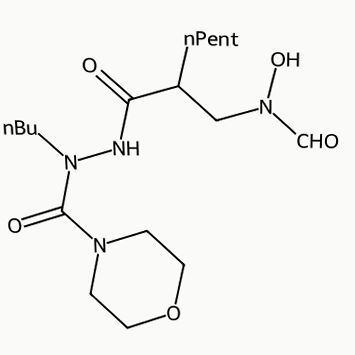 CCCCCC(CN(O)C=O)C(=O)NN(CCCC)C(=O)N1CCOCC1